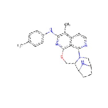 Cc1c(Nc2ccc(C(F)(F)F)cc2)nc2c3c(nccc13)N1CC3CCC(N3)C1CO2